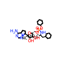 CCOC(=O)C(Cc1ccccc1)NP(=O)(OC[C@H]1O[C@@](C#N)(c2ccc3c(N)ncnn23)[C@H](O)[C@@H]1O)Oc1ccccc1